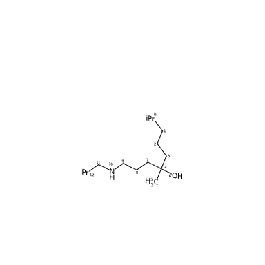 CC(C)CCCC(C)(O)CCCNCC(C)C